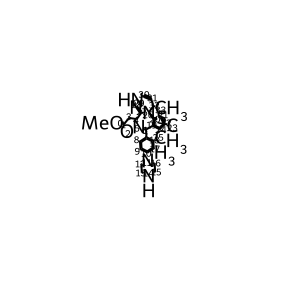 COC(=O)CC1N=C(c2ccc(N3CCNCC3)cc2)c2c(sc(C)c2C)N2C1=NNC#CC2C